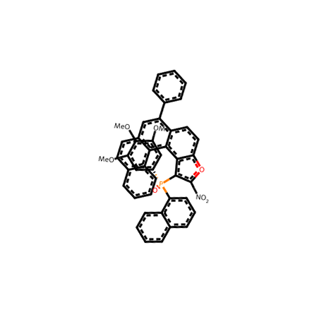 COc1cc([P@@](=O)(c2cccc3ccccc23)c2c([N+](=O)[O-])oc3ccc4c(-c5ccccc5)cc5ccc6ccccc6c5c4c23)cc(OC)c1OC